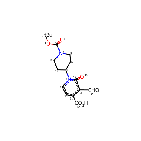 CC(C)(C)OC(=O)N1CCC(n2ccc(C(=O)O)c(C=O)c2=O)CC1